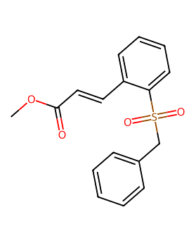 COC(=O)/C=C/c1ccccc1S(=O)(=O)Cc1ccccc1